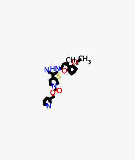 CCOc1ccccc1[C@@H](C)CC(=O)Nc1sc2c(c1C#N)CCN(C(=O)OCc1cccnc1)C2